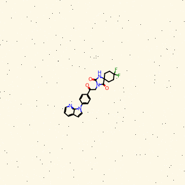 O=C(CN1C(=O)NC2(CCC(F)(F)CC2)C1=O)c1ccc(-n2ccc3cccnc32)cc1